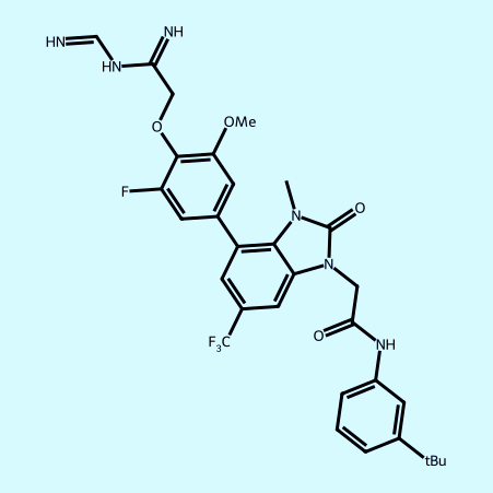 COc1cc(-c2cc(C(F)(F)F)cc3c2n(C)c(=O)n3CC(=O)Nc2cccc(C(C)(C)C)c2)cc(F)c1OCC(=N)NC=N